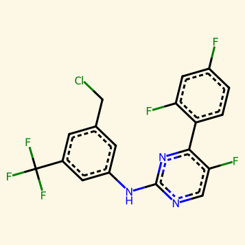 Fc1ccc(-c2nc(Nc3cc(CCl)cc(C(F)(F)F)c3)ncc2F)c(F)c1